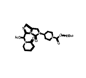 CC(=O)OC(c1ncc2n1C(=O)N(C1CCN(C(=O)OC(C)(C)C)CC1)C2)N1CCCCC1=O